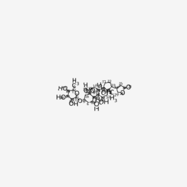 C[C@@H]1O[C@@H](O[C@H]2C[C@@H](O)[C@]3(CO)[C@@H]4[C@@H](CC[C@]3(O)C2)[C@@]2(O)CCC(C3=CC(=O)OC3)[C@@]2(C)C[C@@H]4O)[C@H](O)[C@H](O)[C@H]1O